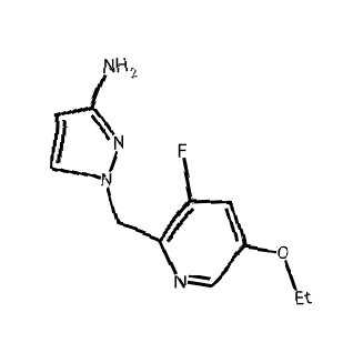 CCOc1cnc(Cn2ccc(N)n2)c(F)c1